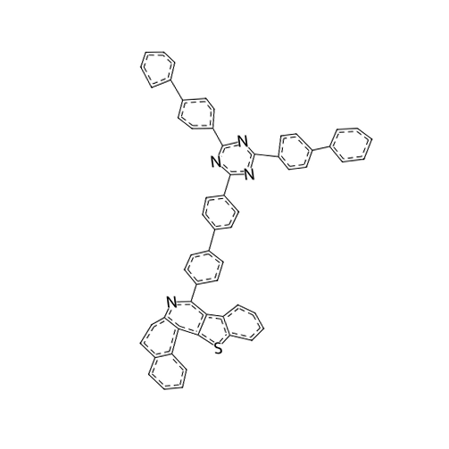 c1ccc(-c2ccc(-c3nc(-c4ccc(-c5ccccc5)cc4)nc(-c4ccc(-c5ccc(-c6nc7ccc8ccccc8c7c7sc8ccccc8c67)cc5)cc4)n3)cc2)cc1